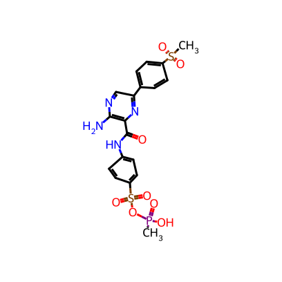 CP(=O)(O)OS(=O)(=O)c1ccc(NC(=O)c2nc(-c3ccc(S(C)(=O)=O)cc3)cnc2N)cc1